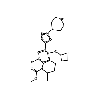 COC(=O)N1c2c(F)cc(-c3cnn(C4CCNCC4)c3)c(OC3CCC3)c2CCC1C